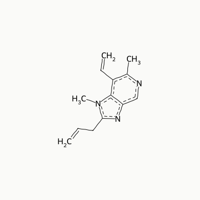 C=CCc1nc2cnc(C)c(C=C)c2n1C